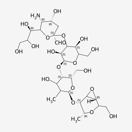 CC1C(O)[C@H](O[C@@H]2OC(CO)[C@H](O)C(O[C@]3(C=O)C[C@@H](O)[C@@H](N)C([C@H](O)C(O)CO)O3)[C@@H]2O)[C@H](CO)O[C@H]1O[C@@H]1C2O[C@@H]2C(CO)O[C@@H]1C